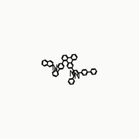 c1ccc(-c2ccc(-c3cc(-c4ccc5c(c4)c4ccccc4c4cccc(-c6ccc7c8ccccc8n(-c8ccc9ccccc9c8)c7c6)c45)nc(-c4ccccc4)n3)cc2)cc1